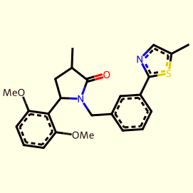 COc1cccc(OC)c1C1CC(C)C(=O)N1Cc1cccc(-c2ncc(C)s2)c1